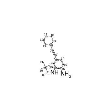 C[C@@H](Nc1cc(C#Cc2ccccc2)ccc1N)C(C)(C)C